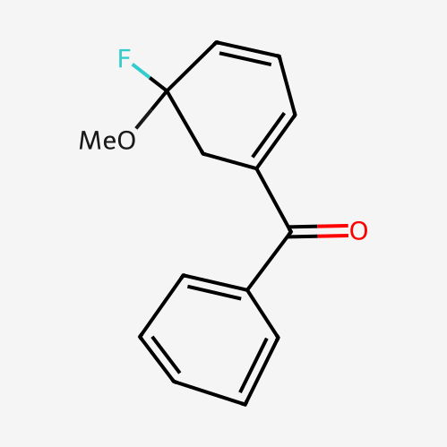 COC1(F)C=CC=C(C(=O)c2ccccc2)C1